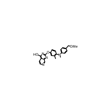 COCc1ccc(N(C)c2ccc(Oc3nc(O)c4ccncc4n3)cc2C)cc1